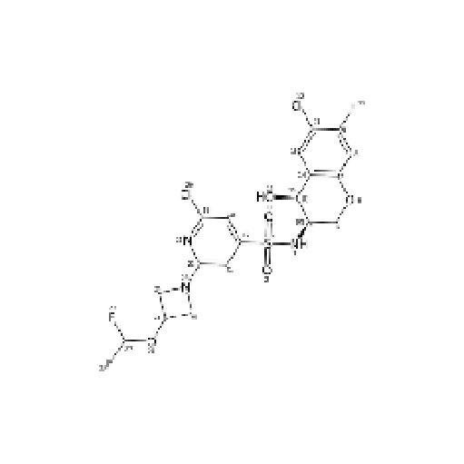 O=S(=O)(N[C@@H]1COc2cc(F)c(Cl)cc2[C@@H]1O)c1cc(Cl)nc(N2CC(OC(F)F)C2)c1